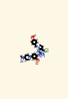 COc1ccc(CN2CCc3c(Cl)nc(Nc4ccc(N5CCC(N(C)C)CC5)cc4OC)nc32)cc1